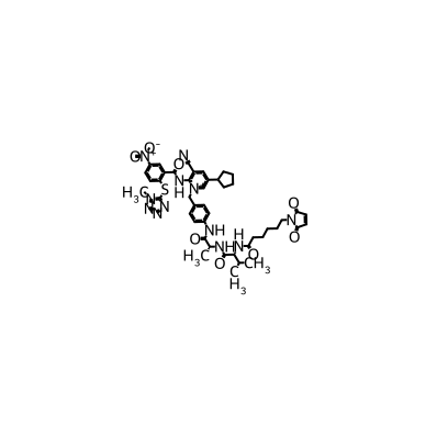 CC(C)[C@H](NC(=O)CCCCCN1C(=O)C=CC1=O)C(=O)N[C@@H](C)C(=O)Nc1ccc(C[n+]2cc(C3CCCC3)cc(C#N)c2NC(=O)c2cc([N+](=O)[O-])ccc2Sc2nnnn2C)cc1